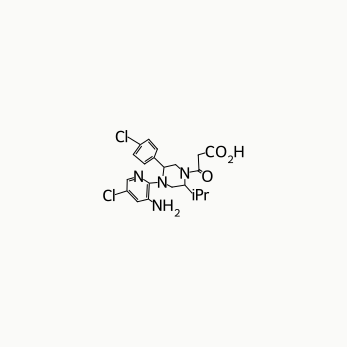 CC(C)C1CN(c2ncc(Cl)cc2N)C(c2ccc(Cl)cc2)CN1C(=O)CC(=O)O